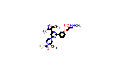 CNCC(O)COc1cccc(-c2nc(-c3c(C)noc3C)cc(N3CCN(C(C)=O)[C@@H](C)C3)n2)c1